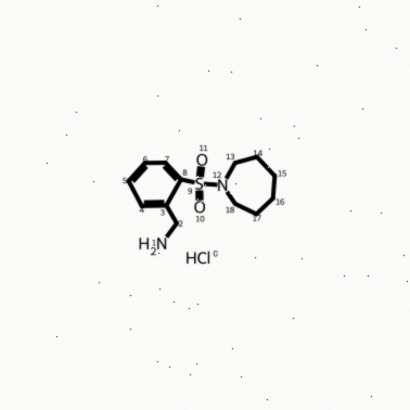 Cl.NCc1ccccc1S(=O)(=O)N1CCCCCC1